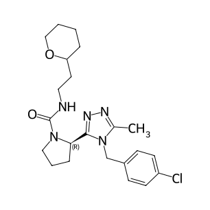 Cc1nnc([C@H]2CCCN2C(=O)NCCC2CCCCO2)n1Cc1ccc(Cl)cc1